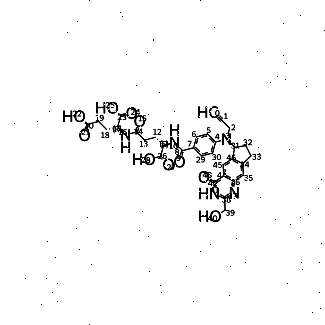 C#CCN(c1ccc(C(=O)N[C@@H](CCC(=O)N[C@H](CCC(=O)O)C(=O)O)C(=O)O)cc1)C1CCc2cc3nc(CO)[nH]c(=O)c3cc21